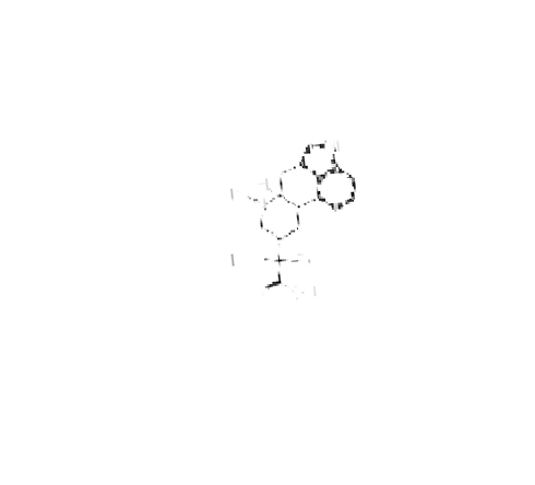 CCCN1C[C@H](C(C)(CC)C(O)=S)CC2c3cccc4[nH]cc(c34)C[C@H]21